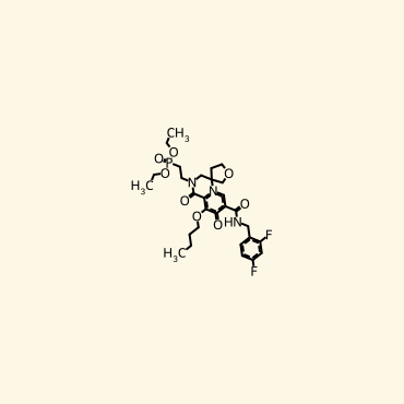 CCCCOc1c2n(cc(C(=O)NCc3ccc(F)cc3F)c1=O)C1(CCOC1)CN(CCP(=O)(OCC)OCC)C2=O